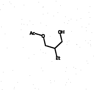 CCC(CO)COC(C)=O